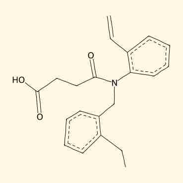 C=Cc1ccccc1N(Cc1ccccc1CC)C(=O)CCC(=O)O